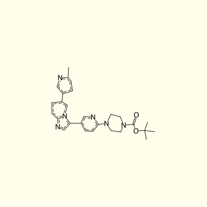 Cc1ccc(-c2ccc3ncc(-c4ccc(N5CCN(C(=O)OC(C)(C)C)CC5)nc4)n3c2)cn1